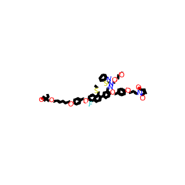 CCSCc1c(-c2ccc(OCc3ccc(OCCCN4C(=O)C=CC4=O)cc3)c(/C=N/N(COCCOC)c3nc4ccccc4s3)c2)ccc2c(F)c(OCC3=CCC(OCCCCCCOCC4(CC)COC4)C=C3)ccc12